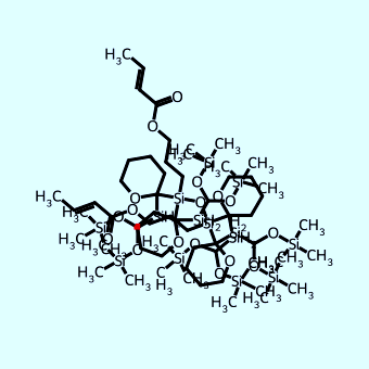 CC=CC(=O)OCCC[Si](O[Si](CCCOC(=O)C=CC)(C1([SiH2]C(O[Si](C)(C)C)O[Si](C)(C)C)CCCCO1)C1([SiH2]C(O[Si](C)(C)C)O[Si](C)(C)C)CCCCO1)(C1([SiH2]C(O[Si](C)(C)C)O[Si](C)(C)C)CCCCO1)C1([SiH2]C(O[Si](C)(C)C)O[Si](C)(C)C)CCCCO1